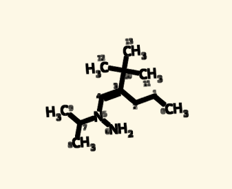 CCC/C(=C\N(N)C(C)C)C(C)(C)C